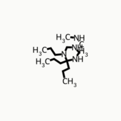 CCCN1CNCNC1(CCC)CCC.CNC